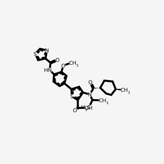 COc1cc(-c2cc(N(C(=O)[C@H]3CC[C@H](C)CC3)C(C)C)c(C(=O)O)s2)ccc1NC(=O)c1cscn1